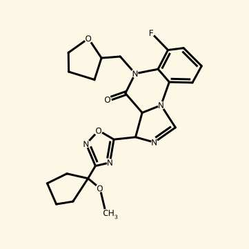 COC1(c2noc(C3N=CN4c5cccc(F)c5N(CC5CCCO5)C(=O)C34)n2)CCCC1